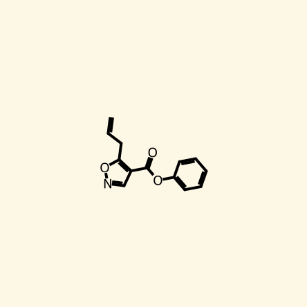 C=CCc1oncc1C(=O)Oc1ccccc1